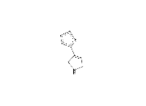 C1=C(c2cccs2)CNC1